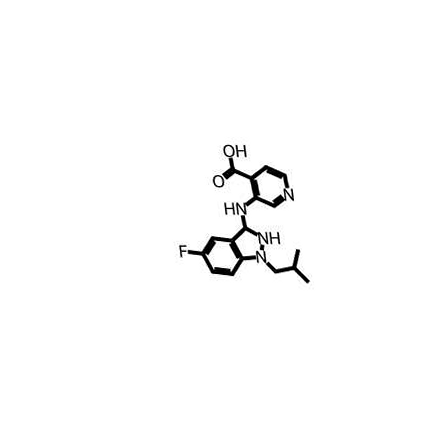 CC(C)CN1NC(Nc2cnccc2C(=O)O)c2cc(F)ccc21